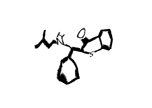 CC(C)CN/C(=C1/Sc2ccccc2C1=O)c1ccccc1